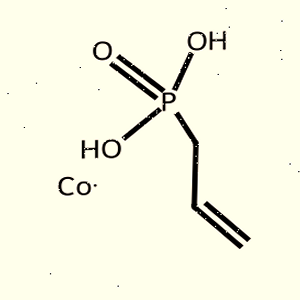 C=CCP(=O)(O)O.[Co]